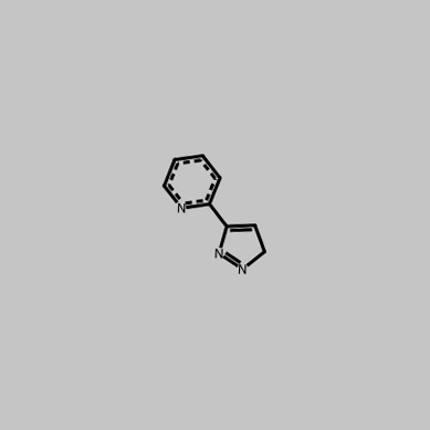 C1=C(c2ccccn2)N=NC1